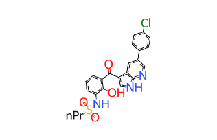 CCCS(=O)(=O)Nc1cccc(C(=O)c2c[nH]c3ncc(-c4ccc(Cl)cc4)cc23)c1O